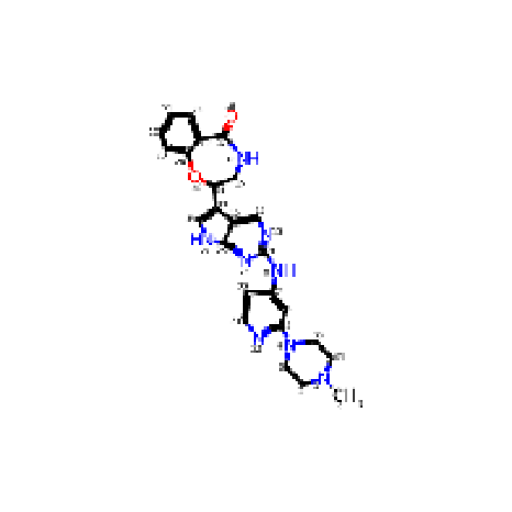 CN1CCN(c2cc(Nc3ncc4c(C5CNC(=O)c6ccccc6O5)c[nH]c4n3)ccn2)CC1